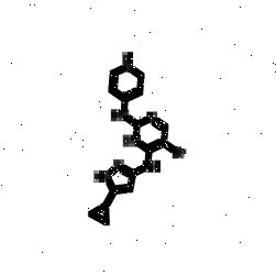 BrC1=C(Nc2cc(C3CC3)[nH]n2)NC(NC2=CCNC=C2)N=C1